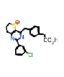 O=C(O)Cc1ccc(Cc2nc(-c3cccc(Cl)c3)nc3c2[S+]([O-])CCC3)cc1